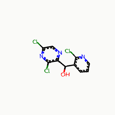 OC(c1cccnc1Cl)c1ncc(Cl)nc1Cl